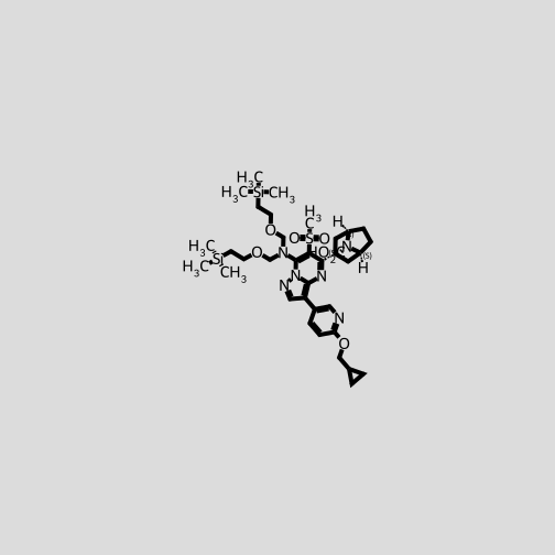 C[Si](C)(C)CCOCN(COCC[Si](C)(C)C)c1c(S(C)(=O)=O)c([C@@H]2C[C@H]3CC[C@@H](C2)N3C(=O)O)nc2c(-c3ccc(OCC4CC4)nc3)cnn12